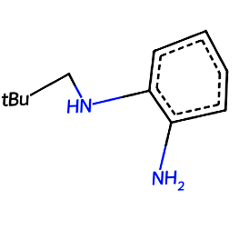 CC(C)(C)CNc1ccccc1N